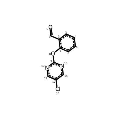 O=Cc1ccccc1Oc1ncc(Cl)cn1